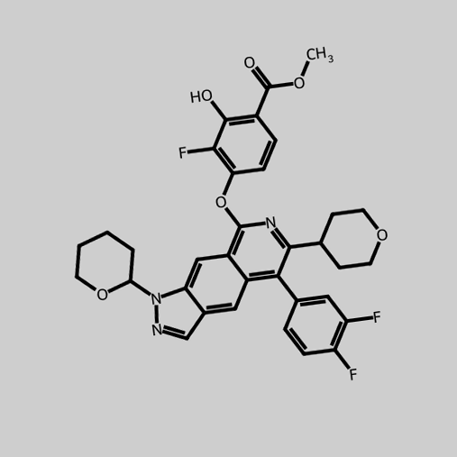 COC(=O)c1ccc(Oc2nc(C3CCOCC3)c(-c3ccc(F)c(F)c3)c3cc4cnn(C5CCCCO5)c4cc23)c(F)c1O